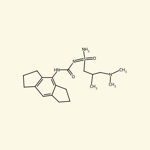 CC(CN(C)C)CS(N)(=O)=NC(=O)Nc1c2c(cc3c1CCC3)CCC2